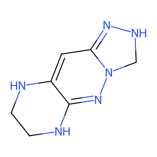 C1=C2NCCNC2=NN2CNN=C12